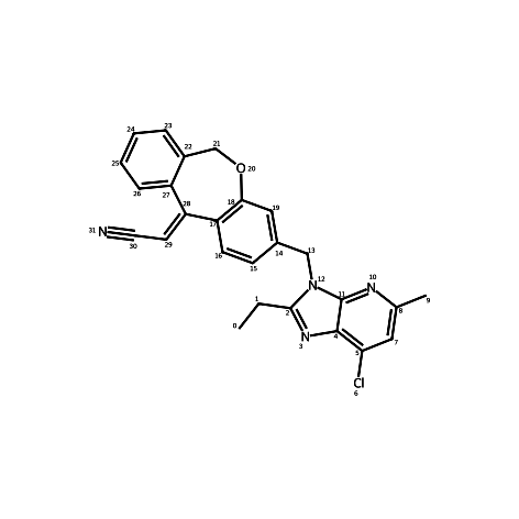 CCc1nc2c(Cl)cc(C)nc2n1Cc1ccc2c(c1)OCc1ccccc1/C2=C\C#N